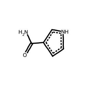 NC(=O)c1cc[nH]c1